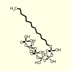 CCCCCCCCCCCCCOP(=O)(O)OP(=O)(O)OP(=O)(O)OP(=O)(O)OP(=O)(O)OP(=O)(O)O